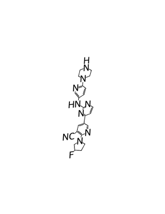 N#Cc1cc(-c2ccnc(Nc3ccc(N4CCNCC4)nc3)n2)cnc1N1CCC(F)C1